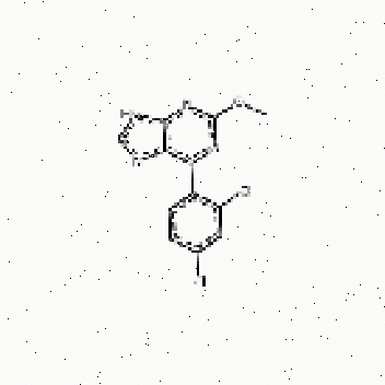 COc1nc(-c2ccc(Cl)cc2Cl)c2nc[nH]c2n1